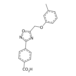 Cc1cccc(OCc2nc(-c3ccc(C(=O)O)cc3)no2)c1